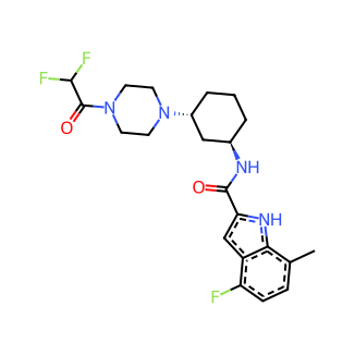 Cc1ccc(F)c2cc(C(=O)N[C@@H]3CCC[C@@H](N4CCN(C(=O)C(F)F)CC4)C3)[nH]c12